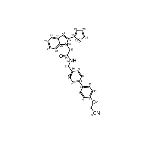 N#CCOc1ccc(-c2ccc(CNC(=O)Cn3c(-c4cccs4)cc4ccccc43)nc2)cc1